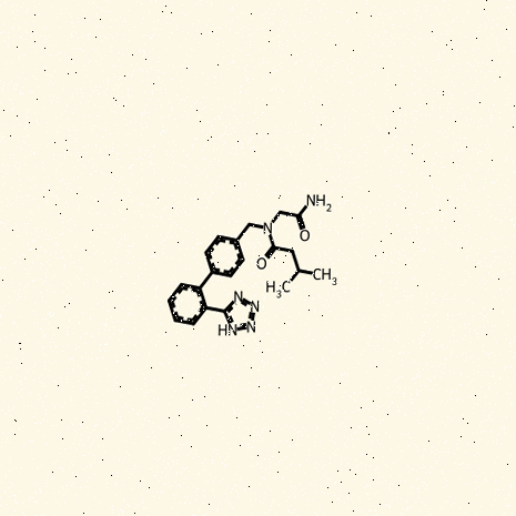 CC(C)CC(=O)N(CC(N)=O)Cc1ccc(-c2ccccc2-c2nnn[nH]2)cc1